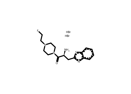 Br.Br.N[C@@H](Cc1nc2ccccc2s1)C(=O)N1CCN(CCF)CC1